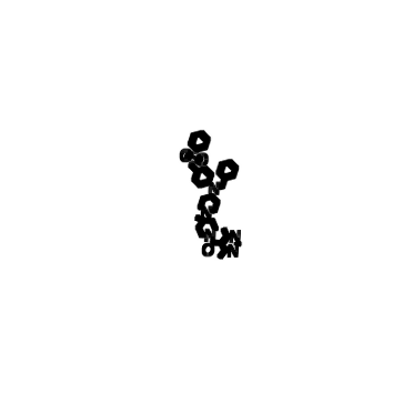 Cc1ncnc(C)c1C(=O)N1CCC(C)(N2CCC(N(Cc3ccccc3)c3ccc(CS(=O)(=O)c4ccccc4)cc3)CC2)CC1